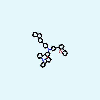 c1cc(-c2ccccc2-n2c3ccccc3c3ccccc32)cc(N(c2ccc(-c3ccc4c(ccc5ccccc54)c3)cc2)c2ccc(-c3cccc4c3oc3ccccc34)cc2)c1